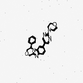 c1ccc(C2COCc3nc4ccc(-c5cnc(N6CCOCC6)nc5)cc4n32)cc1